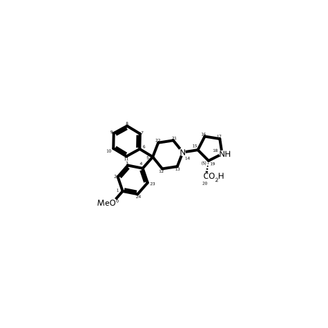 COc1ccc(C2(c3ccccc3)CCN(C3CCN[C@@H]3C(=O)O)CC2)cc1